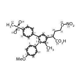 COc1ccc(-n2c(-c3ccc(S(C)(=O)=O)cc3)cc(C(CCO[N+](=O)[O-])C(=O)O)c2C)cc1